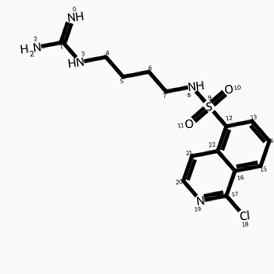 N=C(N)NCCCCNS(=O)(=O)c1cccc2c(Cl)nccc12